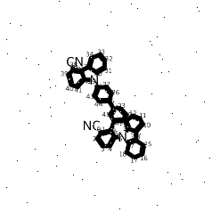 N#Cc1cccc(-n2c3c(c4ccccc42)C=CCC3)c1-c1cccc(-c2ccc(-n3c4ccccc4c4c(C#N)cccc43)cc2)c1